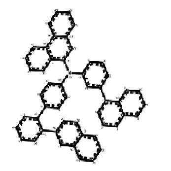 c1cc(-c2cccc3ccccc23)cc(N(c2ccc(-c3ccccc3-c3ccc4ccccc4c3)cc2)c2cc3ccccc3c3ccccc23)c1